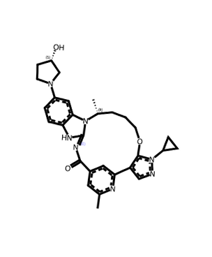 Cc1cc2cc(n1)-c1cnn(C3CC3)c1OCCC[C@@H](C)N1/C(=N/C2=O)Nc2ccc(N3CC[C@H](O)C3)cc21